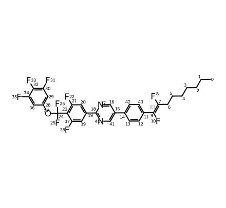 CCCCCCC/C(F)=C(\F)c1ccc(-c2cnc(-c3cc(F)c(C(F)(F)Oc4cc(F)c(F)c(F)c4)c(F)c3)nc2)cc1